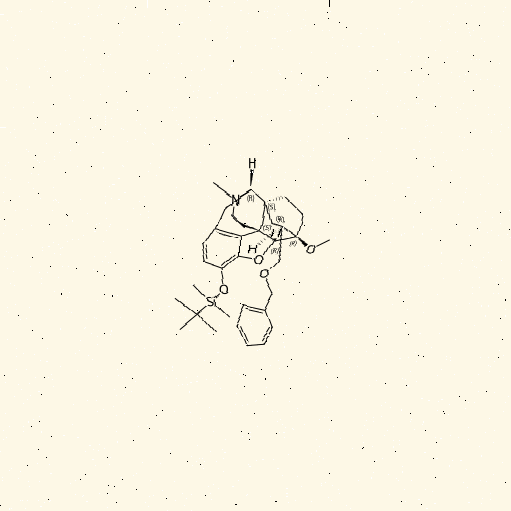 CO[C@]12CC[C@@]3(C[C@@H]1COCc1ccccc1)[C@H]1Cc4ccc(O[Si](C)(C)C(C)(C)C)c5c4[C@@]3(CCN1C)[C@H]2O5